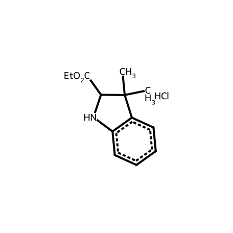 CCOC(=O)C1Nc2ccccc2C1(C)C.Cl